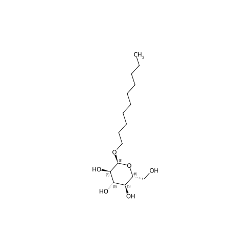 CCCCCCCCCCO[C@H]1O[C@H](CO)[C@@H](O)[C@H](O)[C@H]1O